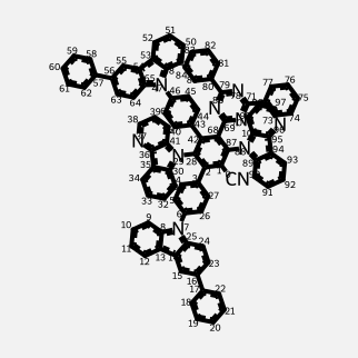 N#Cc1c(-c2ccc(-n3c4ccccc4c4cc(-c5ccccc5)ccc43)cc2)c(-n2c3ccccc3c3ncccc32)c(-c2ccc(-n3c4ccccc4c4cc(-c5ccccc5)ccc43)cc2)c(-c2nc(-c3ccccc3)nc(-c3ccccc3)n2)c1-n1c2ccccc2c2ncccc21